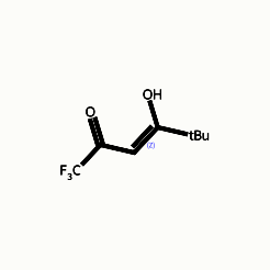 CC(C)(C)/C(O)=C/C(=O)C(F)(F)F